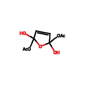 CC(=O)OC1(O)C=CC(O)(OC(C)=O)O1